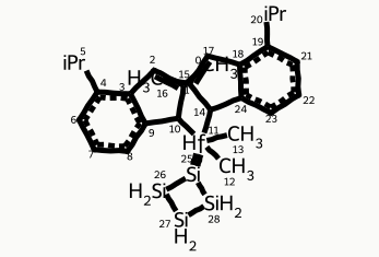 CC1=Cc2c(C(C)C)cccc2[CH]1[Hf]([CH3])([CH3])([CH]1C(C)=Cc2c(C(C)C)cccc21)=[Si]1[SiH2][SiH2][SiH2]1